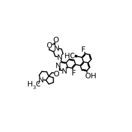 C#Cc1c(F)ccc2cc(O)cc(-c3ccc4c(N5CCN6C(=O)OCC6C5)nc(OCC56CCCC5N(C)CCC6)nc4c3F)c12